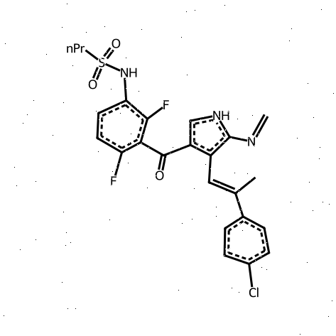 C=Nc1[nH]cc(C(=O)c2c(F)ccc(NS(=O)(=O)CCC)c2F)c1/C=C(\C)c1ccc(Cl)cc1